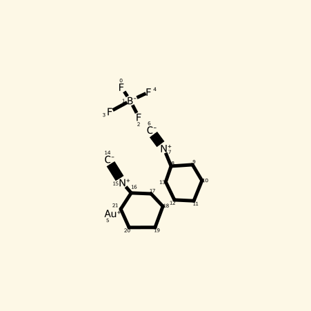 F[B-](F)(F)F.[Au+].[C-]#[N+]C1CCCCC1.[C-]#[N+]C1CCCCC1